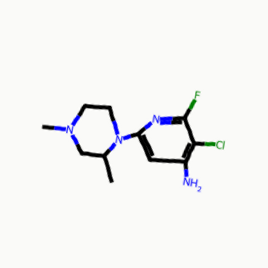 CC1CN(C)CCN1c1cc(N)c(Cl)c(F)n1